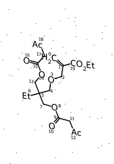 C=C(COCC(CC)(COC(=O)CC(C)=O)COC(=O)CC(C)=O)C(=O)OCC